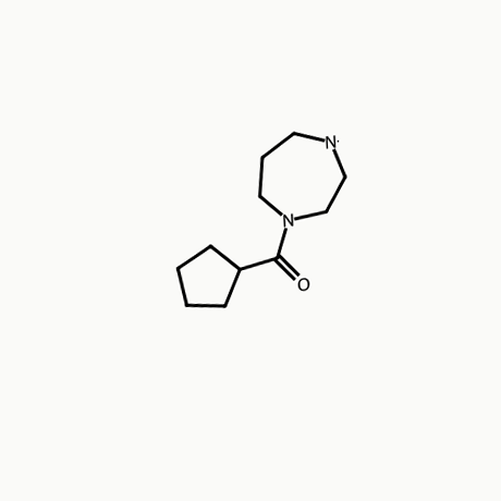 O=C(C1CCCC1)N1CCC[N]CC1